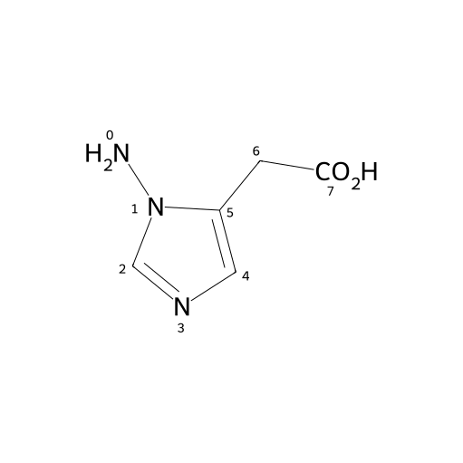 Nn1cncc1CC(=O)O